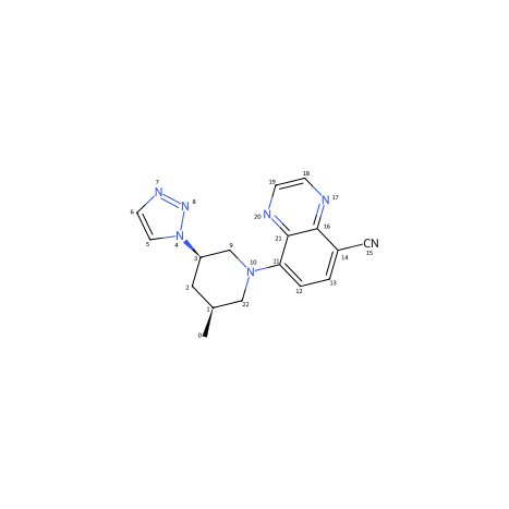 C[C@H]1C[C@@H](n2ccnn2)CN(c2ccc(C#N)c3nccnc23)C1